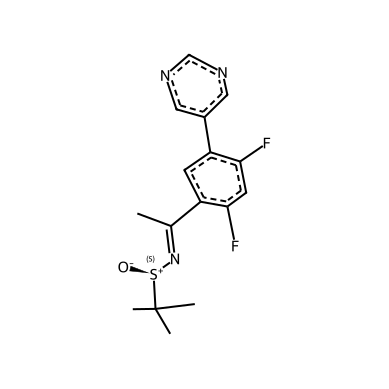 CC(=N[S@+]([O-])C(C)(C)C)c1cc(-c2cncnc2)c(F)cc1F